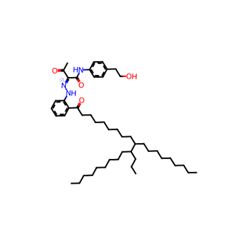 CCCCCCCCCC(CCC)C(CCCCCCCCC)CCCCCCCCC(=O)c1ccccc1N/N=C(/C(C)=O)C(=O)Nc1ccc(CCO)cc1